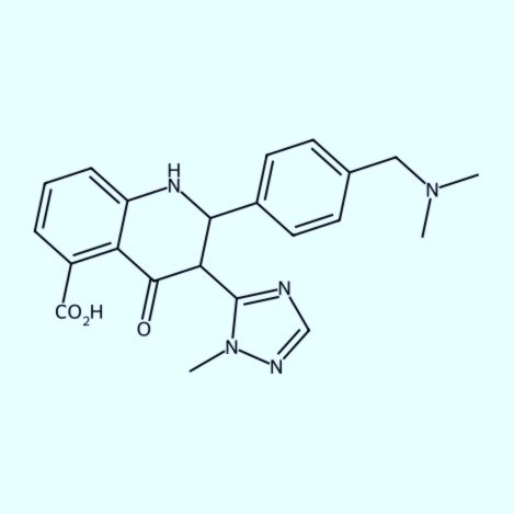 CN(C)Cc1ccc(C2Nc3cccc(C(=O)O)c3C(=O)C2c2ncnn2C)cc1